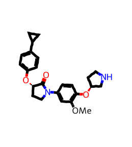 COc1cc(N2CC[C@H](Oc3ccc(C4CC4)cc3)C2=O)ccc1O[C@H]1CCNC1